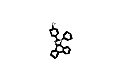 CC(C)c1ccc(-c2nc3c4ccccc4c4ccccc4c3n2-c2ccccc2)cc1